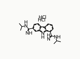 CC(C)NC(=N)c1ccc2c(c1)[nH]c1c(C(=N)NC(C)C)cccc12.Cl.Cl